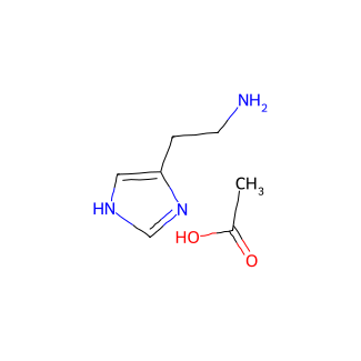 CC(=O)O.NCCc1c[nH]cn1